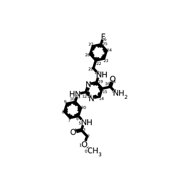 COCC(=O)Nc1cccc(Nc2ncc(C(N)=O)c(NCc3ccc(F)cc3)n2)c1